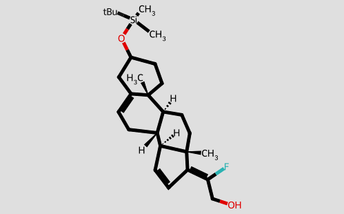 CC(C)(C)[Si](C)(C)OC1CC[C@@]2(C)C(=CC[C@@H]3[C@@H]2CC[C@]2(C)C(=C(F)CO)C=C[C@@H]32)C1